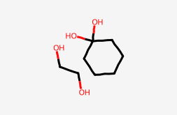 OC1(O)CCCCC1.OCCO